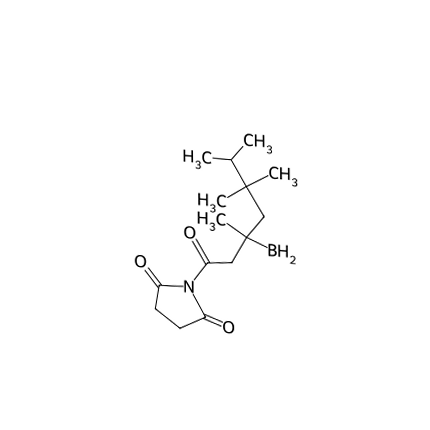 BC(C)(CC(=O)N1C(=O)CCC1=O)CC(C)(C)C(C)C